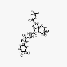 CC(C)(C)OC(=O)N1CC(C(=O)NNC(=O)C(F)(F)c2ccc(Cl)c(Cl)c2)C2(CCS(=O)(=O)CC2)C1